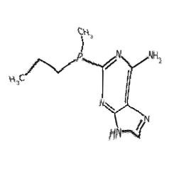 CCCP(C)c1nc(N)c2nc[nH]c2n1